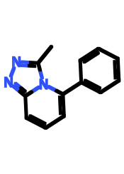 Cc1nnc2cccc(-c3ccccc3)n12